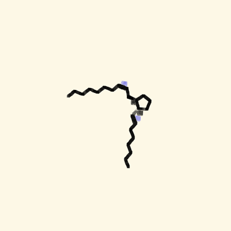 CCCCCC/C=C/[C@H]1CCC[C@@H]1C/C=C\CCCCCCC